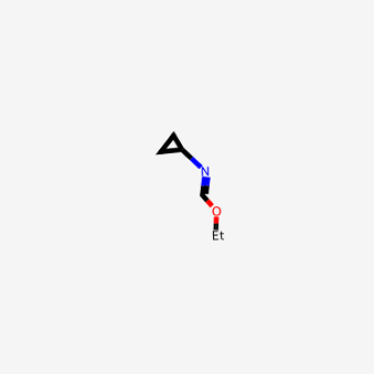 CCOC=NC1CC1